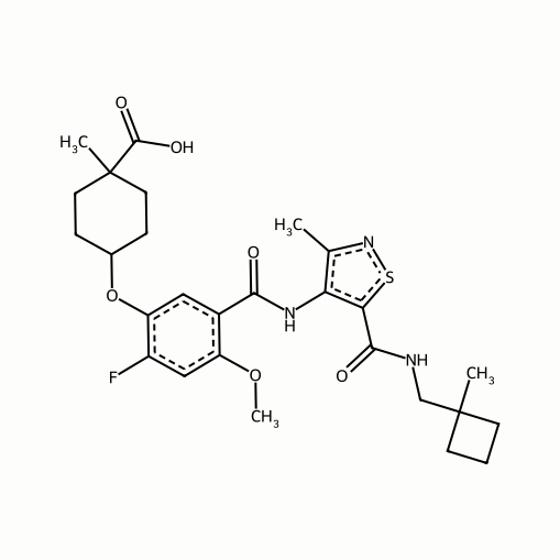 COc1cc(F)c(OC2CCC(C)(C(=O)O)CC2)cc1C(=O)Nc1c(C)nsc1C(=O)NCC1(C)CCC1